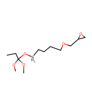 CCC(OC)(OC)O[SiH2]CCCCOCC1CO1